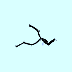 C/[C]=C(\CC)CCC